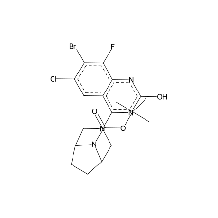 CC(C)(C)OC(=O)N1C2CCC1CN(c1nc(O)nc3c(F)c(Br)c(Cl)cc13)C2